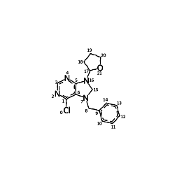 Clc1ncnc2c1N(Cc1ccccc1)CN2C1CCCO1